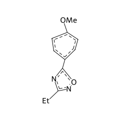 CCc1noc(-c2ccc(OC)cc2)n1